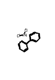 ClPCl.c1ccc(-c2ccccc2)cc1